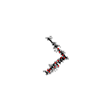 CC(C)C[C@H](N)C(=O)O.CC[C@H](C)[C@H](N)C(=O)O.CSCC[C@H](N)C(=O)O.C[C@@H](O)[C@H](N)C(=O)O.NC(=O)C[C@H](N)C(=O)O.NCC(=O)O.NCC(=O)O.NCC(=O)O.NCCCC[C@H](N)C(=O)O.N[C@@H](CS)C(=O)O.N[C@@H](CS)C(=O)O.N[C@@H](Cc1c[nH]cn1)C(=O)O.O=C(O)[C@@H]1CCCN1.O=C(O)[C@@H]1CCCN1.O=C(O)[C@@H]1CCCN1